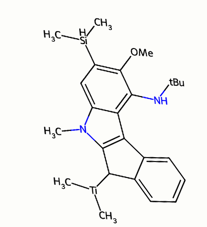 COc1c([SiH](C)C)cc2c(c1NC(C)(C)C)c1c(n2C)[CH]([Ti]([CH3])[CH3])c2ccccc2-1